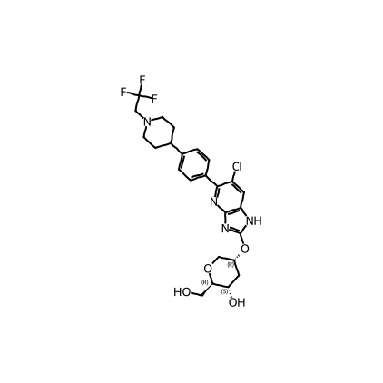 OC[C@H]1OC[C@H](Oc2nc3nc(-c4ccc(C5CCN(CC(F)(F)F)CC5)cc4)c(Cl)cc3[nH]2)C[C@@H]1O